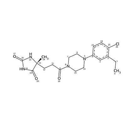 CCc1cc(N2CCN(C(=O)CC[C@@]3(C)NC(=O)NC3=O)CC2)ccc1Cl